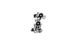 CC(C)(C)OC(=O)N(c1cscn1)S(=O)(=O)c1c(F)cc(NCc2c(Cl)ccc(F)c2CN2CCC2)cc1F